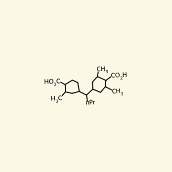 CCCC(C1CCC(C(=O)O)C(C)C1)C1CC(C)C(C(=O)O)C(C)C1